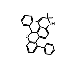 CC1=CC(C)(C)Nc2ccc3c(c21)C(c1ccccc1)Oc1cccc(-c2ccccc2)c1-3